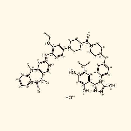 CCOc1cc(N2CCC(C(=O)N3CCN(Cc4ccc(-n5c(O)nnc5-c5cc(C(C)C)c(O)cc5O)cc4)CC3)CC2)ccc1Nc1ncc2c(n1)N(C)c1ccccc1C(=O)N2C.Cl